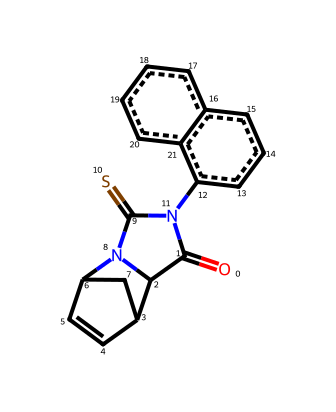 O=C1C2C3C=CC(C3)N2C(=S)N1c1cccc2ccccc12